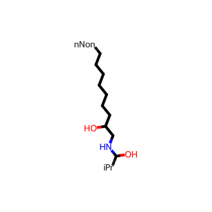 CCCCCCCCCCCCCCCCC(O)CNC(O)C(C)C